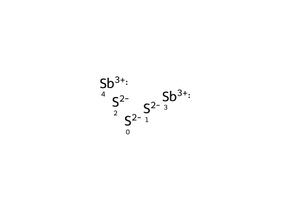 [S-2].[S-2].[S-2].[Sb+3].[Sb+3]